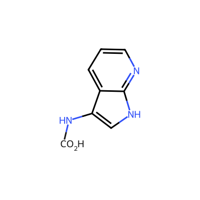 O=C(O)Nc1c[nH]c2ncccc12